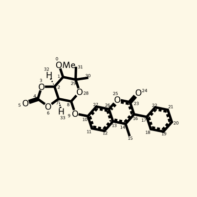 COC1[C@@H]2OC(=O)O[C@@H]2C(Oc2ccc3c(C)c(-c4ccccc4)c(=O)oc3c2)OC1(C)C